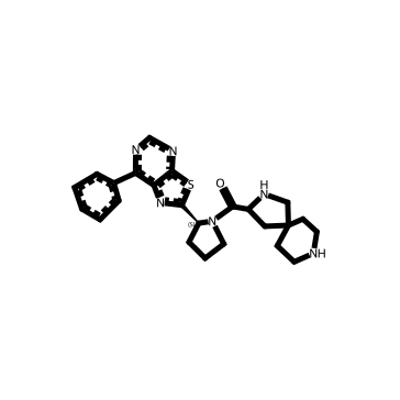 O=C(C1CC2(CCNCC2)CN1)N1CCC[C@H]1c1nc2c(-c3ccccc3)ncnc2s1